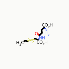 C=CCSSCC(NC(=O)CCC(N)C(=O)O)C(=O)O